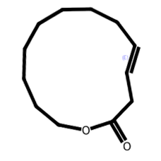 O=C1C/C=C/CCCCCCCCO1